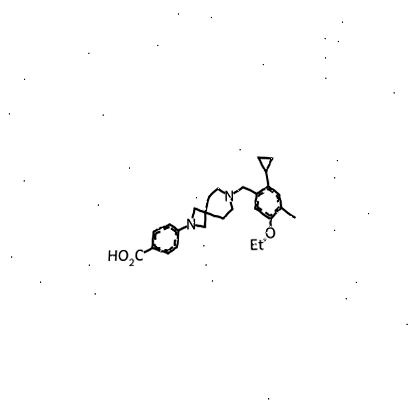 CCOc1cc(CN2CCC3(CC2)CN(c2ccc(C(=O)O)cc2)C3)c(C2CC2)cc1C